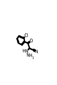 N#CC(NN)C(=O)c1ccccc1Cl